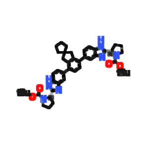 CC(C)(C)OC(=O)N1CCC[C@H]1c1nc2cc(-c3ccc(-c4ccc5[nH]c([C@@H]6CCCN6C(=O)OC(C)(C)C)nc5c4)c4c3CC3(CCCC3)C4)ccc2[nH]1